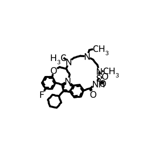 CCN1CCN(C)C2COc3ccc(F)cc3-c3c(C4CCCCC4)c4ccc(cc4n3C2)C(=O)NS(=O)(=O)N(C)CC1